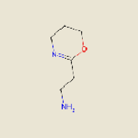 NCCC1=NCCCO1